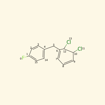 Fc1ccc(CC2=CC=CC(Cl)C2Cl)cc1